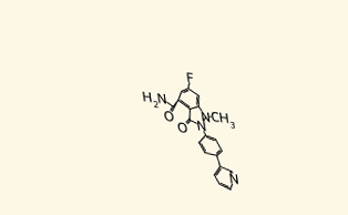 Cn1c2cc(F)cc(C(N)=O)c2c(=O)n1-c1ccc(-c2cccnc2)cc1